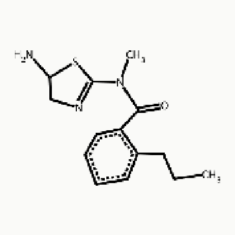 CCCc1ccccc1C(=O)N(C)C1=NCC(N)S1